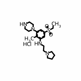 CCS(=O)(=O)c1cc(NCCN2CCCC2)c(C)c(N2CCNCC2)c1.Cl